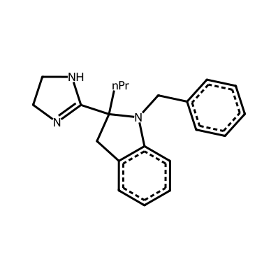 CCCC1(C2=NCCN2)Cc2ccccc2N1Cc1ccccc1